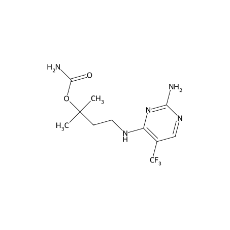 CC(C)(CCNc1nc(N)ncc1C(F)(F)F)OC(N)=O